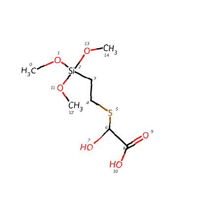 CO[Si](CCSC(O)C(=O)O)(OC)OC